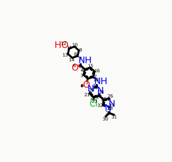 COc1cc(C(=O)N[C@H]2CC[C@H](O)CC2)ccc1Nc1ncc(Cl)c(-c2cnn(C(C)C)c2)n1